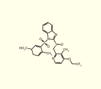 CC1=CCC(C(=O)O)C=C1S(=O)(=O)n1c([S+]([O-])Cc2nccc(OCC(F)(F)F)c2C)nc2ccccc21